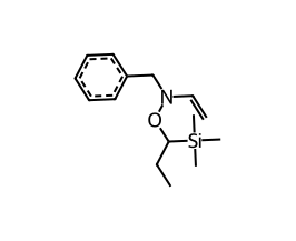 C=CN(Cc1ccccc1)OC(CC)[Si](C)(C)C